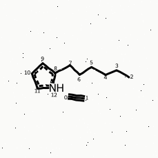 C#C.CCCCCCc1ccc[nH]1